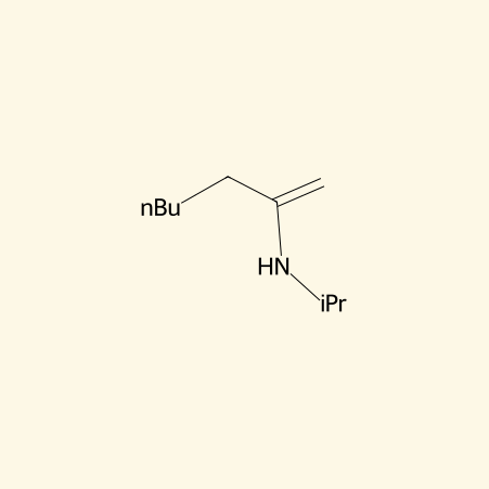 C=C(CCCCC)NC(C)C